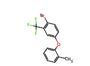 [CH2]c1ccccc1Oc1ccc(Br)c(C(F)(F)F)c1